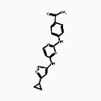 NC(=O)c1ccc(Nc2nccc(Nc3cc(C4CC4)n[nH]3)n2)cc1